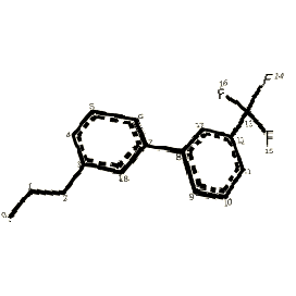 [CH2]CCc1cccc(-c2cccc(C(F)(F)F)c2)c1